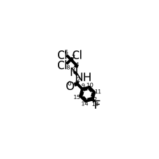 O=C(NN=CC(Cl)(Cl)Cl)c1ccc(F)cc1